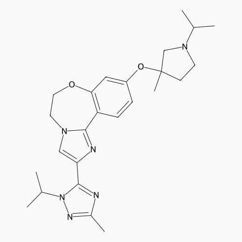 Cc1nc(-c2cn3c(n2)-c2ccc(OC4(C)CCN(C(C)C)C4)cc2OCC3)n(C(C)C)n1